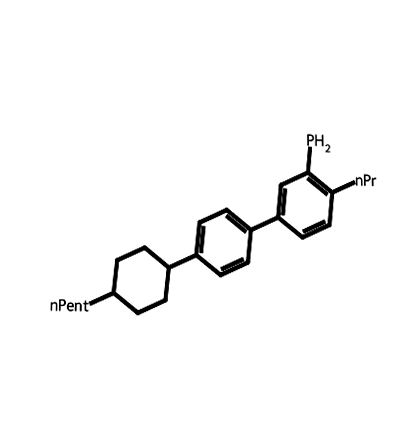 CCCCCC1CCC(c2ccc(-c3ccc(CCC)c(P)c3)cc2)CC1